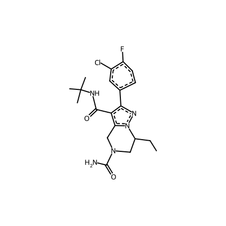 CCC1CN(C(N)=O)Cc2c(C(=O)NC(C)(C)C)c(-c3ccc(F)c(Cl)c3)nn21